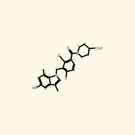 Cc1cn(Cc2c(Cl)ccc(C(=O)N3CCC(C(=O)O)CC3)c2Cl)c2c(C)cc(O)cc12